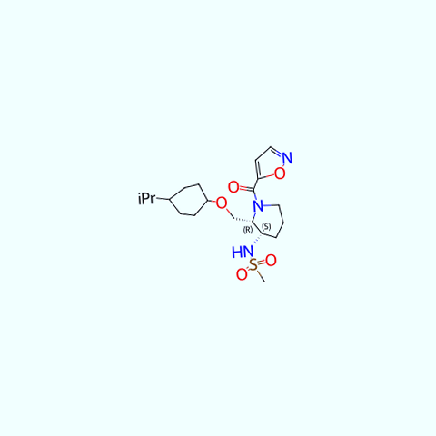 CC(C)C1CCC(OC[C@H]2[C@@H](NS(C)(=O)=O)CCCN2C(=O)c2ccno2)CC1